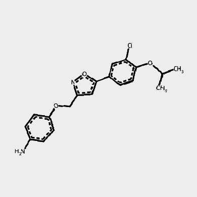 CC(C)Oc1ccc(-c2cc(COc3ccc(N)cc3)no2)cc1Cl